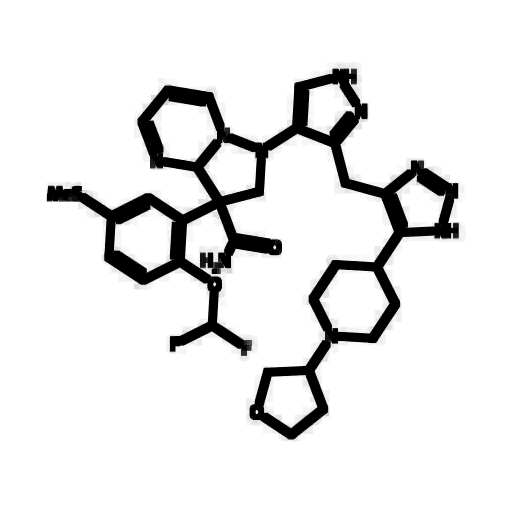 CSc1ccc(OC(F)F)c(C2(C(N)=O)CN(c3c[nH]nc3Cc3nn[nH]c3C3CCN(C4CCOC4)CC3)N3C=CC=NC32)c1